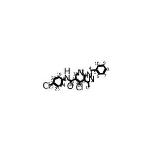 Cc1nn(Cc2ccccc2)c2ncc(C(=O)Nc3ccc(Cl)cc3)c(Cl)c12